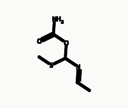 CC=NC(OC(N)=O)SC